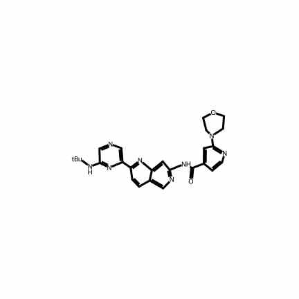 CC(C)(C)Nc1cncc(-c2ccc3cnc(NC(=O)c4ccnc(N5CCOCC5)c4)cc3n2)n1